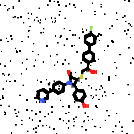 O=C1[C@H](SC[C@H](O)c2ccc(-c3ccc(F)cc3)cc2)[C@@H](c2ccc(O)cc2)N1c1ccc(-c2cccnc2)cc1